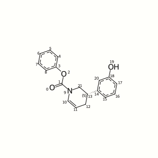 O=C(Oc1ccccc1)N1C=CC[C@@H](c2cccc(O)c2)C1